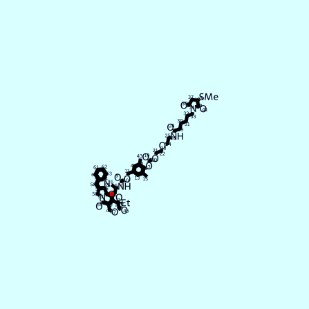 CC[C@@]1(OC(=O)C(C)NC(=O)OCc2cc(C)c(OC(=O)OCCOCCNC(=O)CCCCCN3C(=O)CC(SC)C3=O)c(C)c2)C(=O)OCc2c1cc1n(c2=O)Cc2cc3ccccc3nc2-1